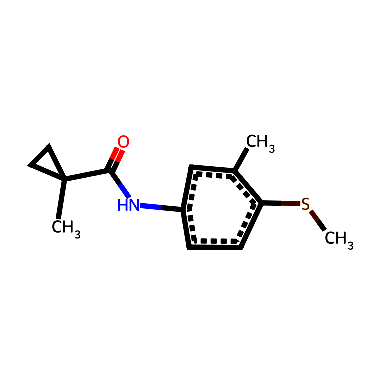 CSc1ccc(NC(=O)C2(C)CC2)cc1C